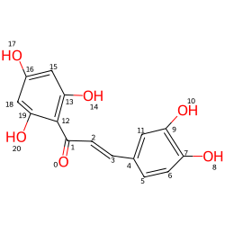 O=C(/C=C/c1ccc(O)c(O)c1)c1c(O)cc(O)cc1O